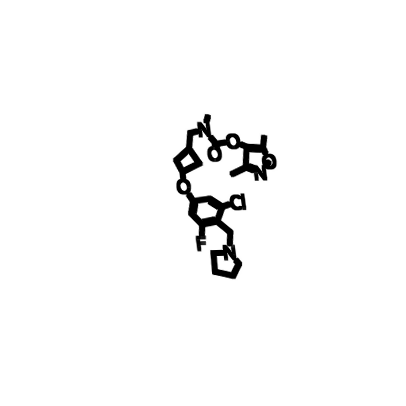 Cc1noc(C)c1OC(=O)N(C)CC1CC(Oc2cc(F)c(CN3CCCC3)c(Cl)c2)C1